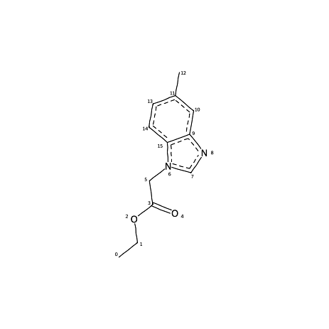 CCOC(=O)Cn1cnc2cc(C)ccc21